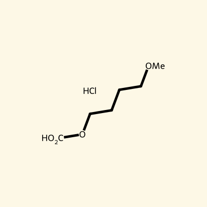 COCCCCOC(=O)O.Cl